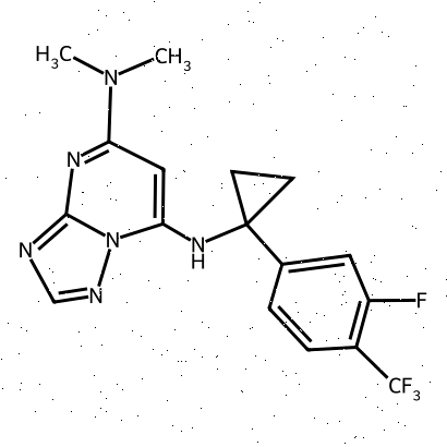 CN(C)c1cc(NC2(c3ccc(C(F)(F)F)c(F)c3)CC2)n2ncnc2n1